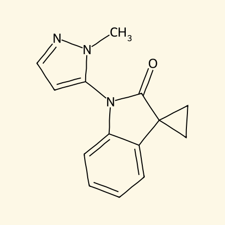 Cn1nccc1N1C(=O)C2(CC2)c2ccccc21